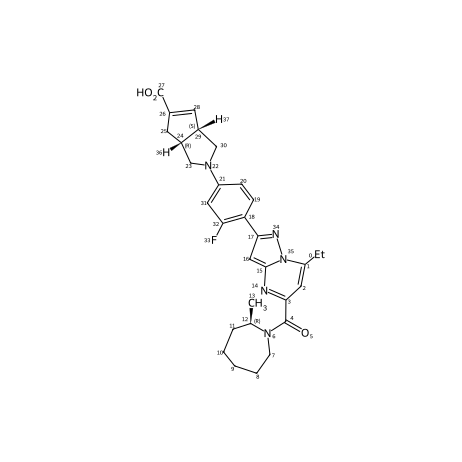 CCc1cc(C(=O)N2CCCCC[C@H]2C)nc2cc(-c3ccc(N4C[C@@H]5CC(C(=O)O)=C[C@@H]5C4)cc3F)nn12